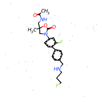 CC(=O)NCC1(C)CN(c2ccc(-c3ccc(CNCCCF)cc3)c(F)c2)C(=O)O1